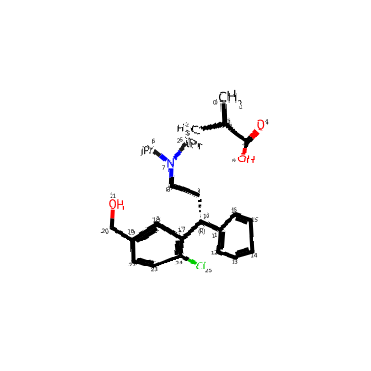 CC(C)C(=O)O.CC(C)N(CC[C@H](c1ccccc1)c1cc(CO)ccc1Cl)C(C)C